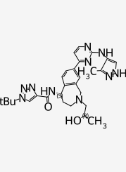 Cc1n[nH]cc1Nc1nccc(-c2ccc3c(c2)CN(C[C@@H](C)O)CC[C@@H]3NC(=O)c2cn(C(C)(C)C)nn2)n1